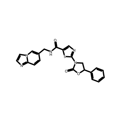 O=C(NCc1ccc2nccn2c1)c1cnc(N2CC(c3ccccc3)OC2=O)s1